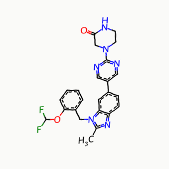 Cc1nc2ccc(-c3cnc(N4CCNC(=O)C4)nc3)cc2n1Cc1ccccc1OC(F)F